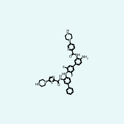 Nc1ccc(-c2cc(F)c(Nc3ccc(-c4ccccc4)cc3NC(=O)c3ncc(N4CCNCC4)s3)c(F)c2)cc1NC(=O)c1ccc(N2CCNCC2)cn1